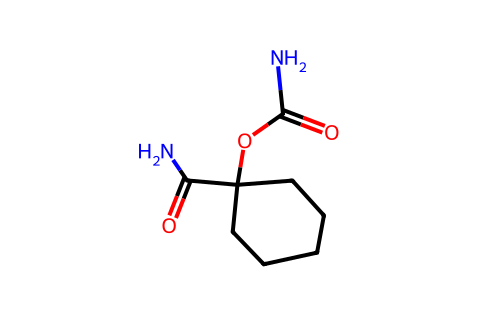 NC(=O)OC1(C(N)=O)CCCCC1